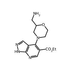 CCOC(=O)c1cnc2[nH]ncc2c1N1CCOC(CN)C1